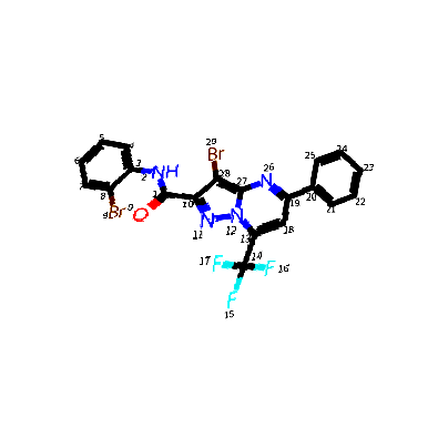 O=C(Nc1ccccc1Br)c1nn2c(C(F)(F)F)cc(-c3ccccc3)nc2c1Br